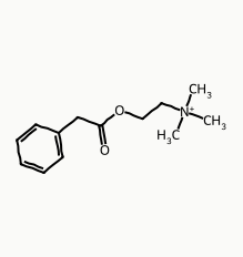 C[N+](C)(C)CCOC(=O)Cc1ccccc1